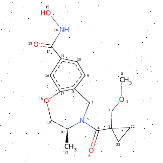 COCC1(C(=O)N2Cc3ccc(C(=O)NO)cc3OC[C@@H]2C)CC1